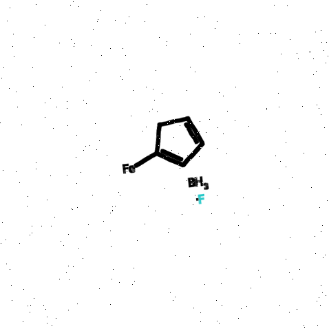 B.[F].[Fe][C]1=CC=CC1